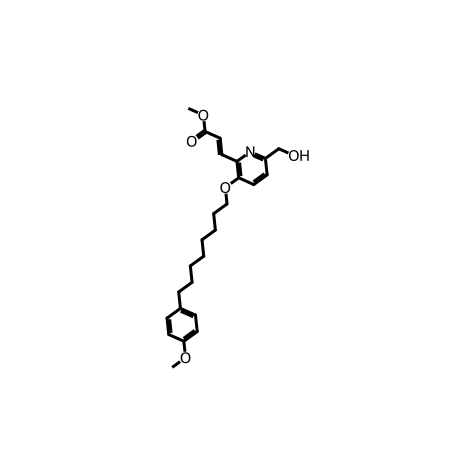 COC(=O)C=Cc1nc(CO)ccc1OCCCCCCCCc1ccc(OC)cc1